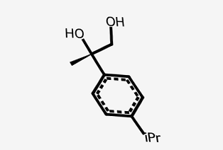 CC(C)c1ccc([C@](C)(O)CO)cc1